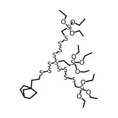 CCO[Si](CCS(SSSCCC12CCC(CC1)C2)(SSSSC[Si](OCC)(OCC)OCC)SSSSC[Si](OCC)(OCC)OCC)(OCC)OCC